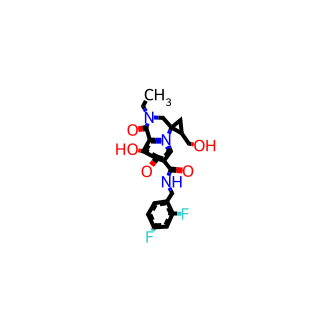 CCN1CC2(CC2CO)n2cc(C(=O)NCc3ccc(F)cc3F)c(=O)c(O)c2C1=O